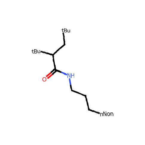 CCCCCCCCCCCCNC(=O)C(CC(C)(C)C)C(C)(C)C